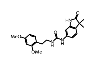 COc1ccc(CCNC(=O)Nc2ccc3c(c2)NC(=O)C3(C)C)c(OC)c1